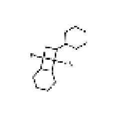 NC12C(C3CCCCC3)CC1(F)C1CCCCC12